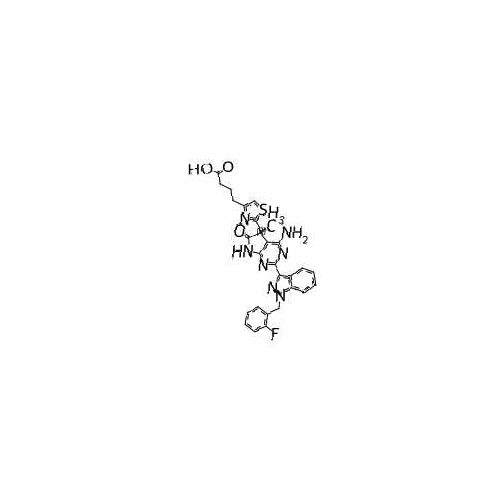 C[C@]1(c2nc(CCCC(=O)O)cs2)C(=O)Nc2nc(-c3nn(Cc4ccccc4F)c4ccccc34)nc(N)c21